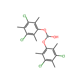 Cc1c(Cl)c(C)c(OB(O)Oc2c(C)c(Cl)c(C)c(Cl)c2C)c(C)c1Cl